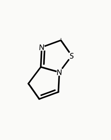 [CH]1N=C2CC=CN2S1